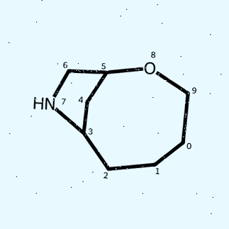 C1CCC2CC(CN2)OC1